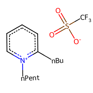 CCCCC[n+]1ccccc1CCCC.O=S(=O)([O-])C(F)(F)F